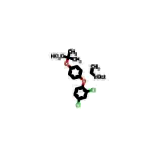 C=CCCCCCCCC.CC(C)(Oc1ccc(Oc2ccc(Cl)cc2Cl)cc1)C(=O)O